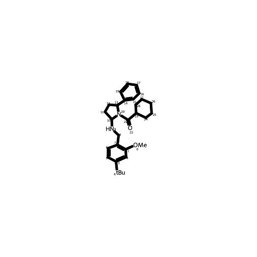 COc1cc(C(C)(C)C)ccc1CNC1CCC(c2ccccc2)N1C(=O)C1CCCCC1